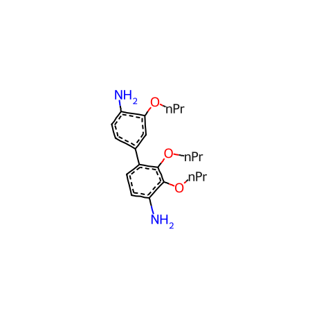 CCCOc1cc(-c2ccc(N)c(OCCC)c2OCCC)ccc1N